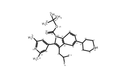 Cc1cc(-c2c(CC(F)F)c3cc(C4CCNCC4)ccc3n2C(=O)OC(C)(C)C)cc(C)n1